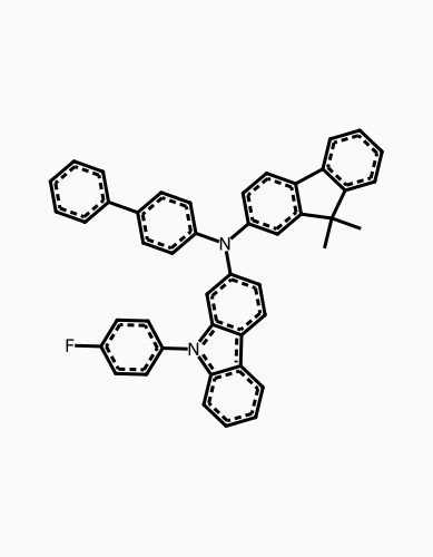 CC1(C)c2ccccc2-c2ccc(N(c3ccc(-c4ccccc4)cc3)c3ccc4c5ccccc5n(-c5ccc(F)cc5)c4c3)cc21